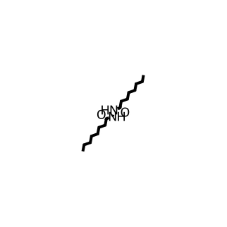 CCCCCCCC(=O)NNC(=O)CCCCCCC